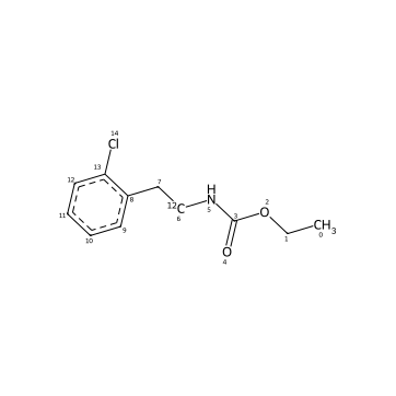 CCOC(=O)N[12CH2]Cc1ccccc1Cl